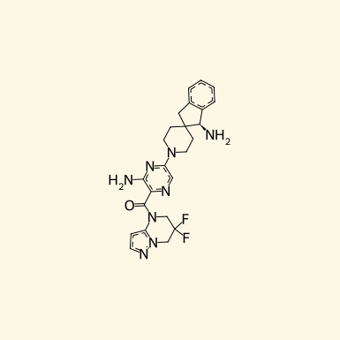 Nc1nc(N2CCC3(CC2)Cc2ccccc2[C@H]3N)cnc1C(=O)N1CC(F)(F)Cn2nccc21